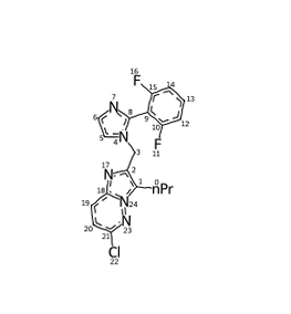 CCCc1c(Cn2ccnc2-c2c(F)cccc2F)nc2ccc(Cl)nn12